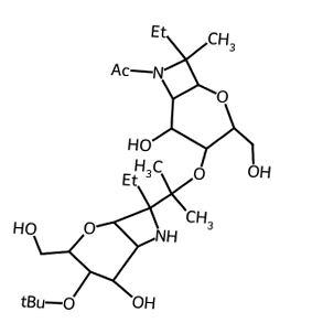 CCC1(C)C2OC(CO)C(OC(C)(C)C3(CC)NC4C(O)C(OC(C)(C)C)C(CO)OC43)C(O)C2N1C(C)=O